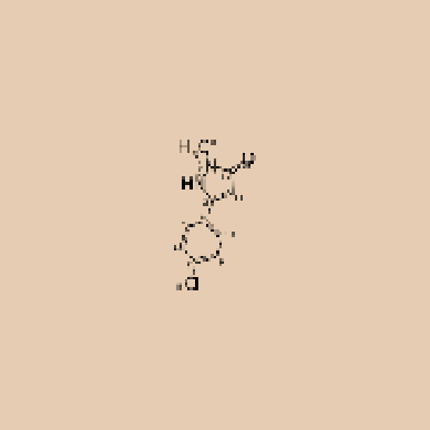 Cn1[nH]c(-c2ccc(Cl)cc2)cc1=O